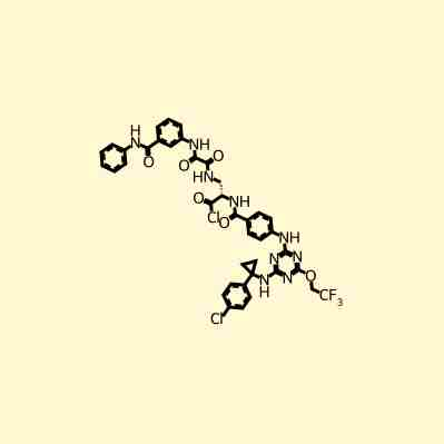 O=C(NC[C@H](NC(=O)c1ccc(Nc2nc(NC3(c4ccc(Cl)cc4)CC3)nc(OCC(F)(F)F)n2)cc1)C(=O)Cl)C(=O)Nc1cccc(C(=O)Nc2ccccc2)c1